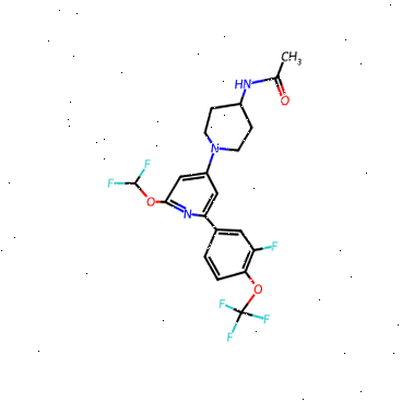 CC(=O)NC1CCN(c2cc(OC(F)F)nc(-c3ccc(OC(F)(F)F)c(F)c3)c2)CC1